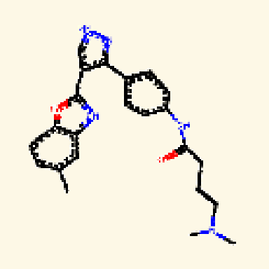 Cc1ccc2oc(-c3c[nH]nc3-c3ccc(NC(=O)CCCN(C)C)cc3)nc2c1